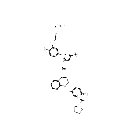 C[C@H]1CCCN1c1nnc2ccc(O[C@@H]3CC[C@H](NC(=O)Nc4cc(C(C)(C)C)nn4-c4ccc(Cl)c(OCCOS(C)(=O)=O)c4)c4ccccc43)cn12